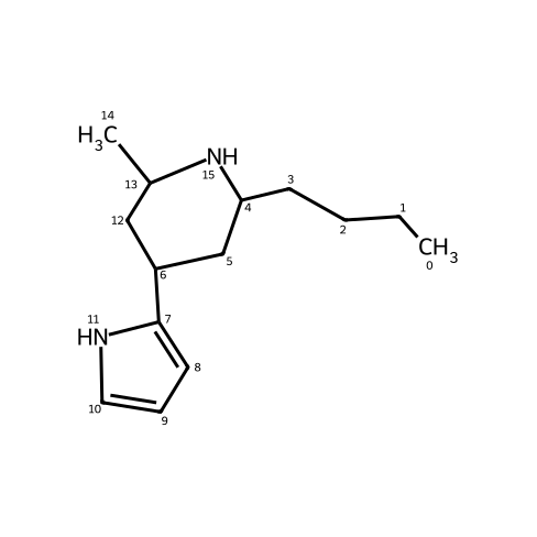 CCCCC1CC(c2ccc[nH]2)CC(C)N1